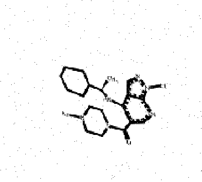 CCn1ncc2c(N[C@H](C)C3CCCCC3)c(C(=O)N3CCN(C(C)=O)CC3)cnc21